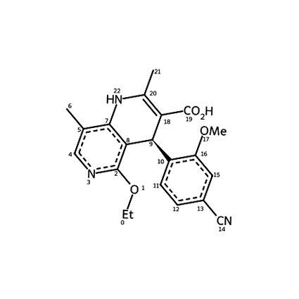 CCOc1ncc(C)c2c1[C@H](c1ccc(C#N)cc1OC)C(C(=O)O)=C(C)N2